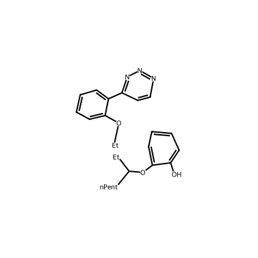 CCCCCC(CC)Oc1ccccc1O.CCOc1ccccc1-c1ccnnn1